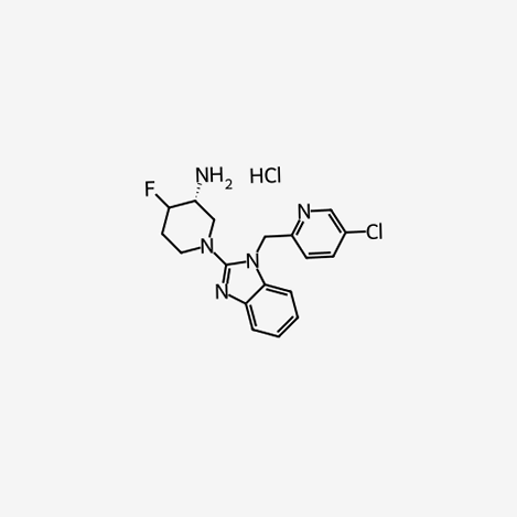 Cl.N[C@@H]1CN(c2nc3ccccc3n2Cc2ccc(Cl)cn2)CCC1F